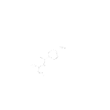 CC(N=C(N)N)c1ccc([NH])cc1